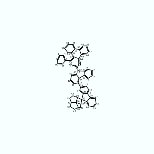 c1ccc(-c2nc(-n3c4ccccc4c4c(-c5ccc6c(c5)C5(c7ccccc7-6)C6CCC7CCC8CC5C786)cccc43)nc3c4ccccc4c4ccccc4c23)cc1